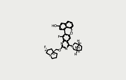 Oc1cc(-c2c(Cl)cc3c(N4C[C@H]5CC[C@@H](C4)N5)nc(OC[C@@]45CCCN4C[C@H](F)C5)nc3c2F)c2c(F)cccc2c1